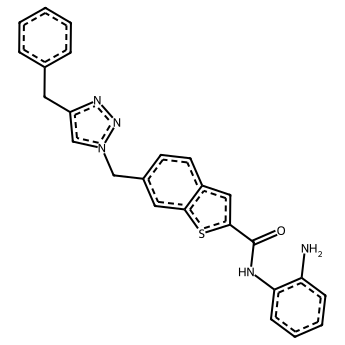 Nc1ccccc1NC(=O)c1cc2ccc(Cn3cc(Cc4ccccc4)nn3)cc2s1